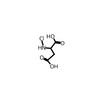 O=C(O)CC(NCl)C(=O)O